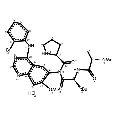 CN[C@@H](C)C(=O)N[C@H](C(=O)N(C(=O)[C@@H]1CCCN1)c1cc2c(Nc3ccccc3Br)ncnc2cc1OC)C(C)(C)C.Cl